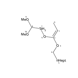 CC=C(OCCCCCCCC)O[SiH2]C(OC)OC